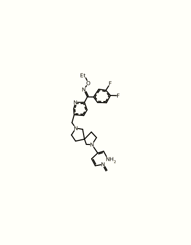 C=N/C=C\C(=C/N)N1CCC2(CCN(Cc3ccc(/C(=N/OCC)c4ccc(F)c(F)c4)nc3)C2)C1